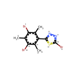 Cc1c(Br)c(C)c(-c2nnc(Br)s2)c(C)c1Br